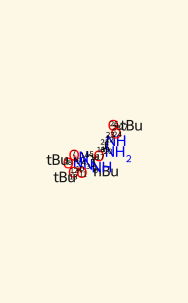 CCCCNc1nc(N(C(=O)OC(C)(C)C)C(=O)OC(C)(C)C)ncc1OC/C(N)=C/NCOC(=O)C(C)(C)C